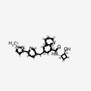 Cn1ccc(-c2ccc(Cc3cc(C(=O)N[C@H]4CC[C@@H]4O)c4ncccc4c3)cn2)n1